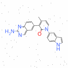 Cc1ccn(-c2ccc3[nH]ccc3c2)c(=O)c1-c1ccc2nc(N)ncc2c1